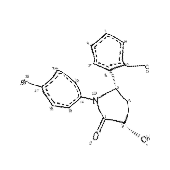 O=C1[C@@H](O)C[C@@H](c2ccccc2Cl)N1c1ccc(Br)cc1